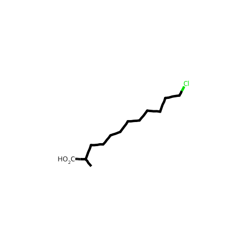 CC(CCCCCCCCCCCl)C(=O)O